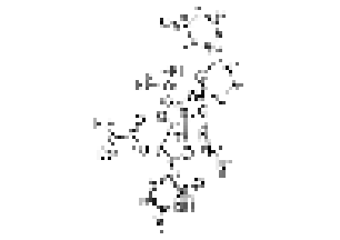 CCC(CC)C(=O)O[C@H]1C(n2ccc(=O)[nH]c2=O)O[C@@](COP2(=O)OCC[C@@H](c3cccc(Cl)c3)O2)(N=[N+]=[N-])[C@H]1OC(=O)C(CC)CC